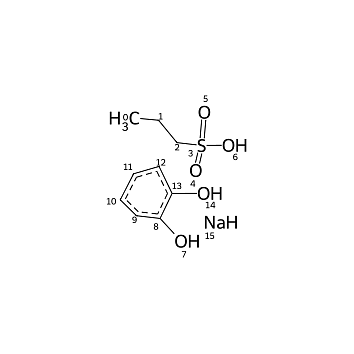 CCCS(=O)(=O)O.Oc1ccccc1O.[NaH]